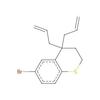 C=CCC1(CC=C)CCSc2ccc(Br)cc21